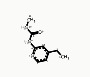 CCc1ccnc(NC(=O)NC)c1